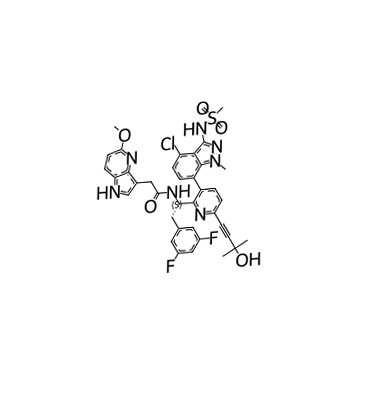 COc1ccc2[nH]cc(CC(=O)N[C@@H](Cc3cc(F)cc(F)c3)c3nc(C#CC(C)(C)O)ccc3-c3ccc(Cl)c4c(NS(C)(=O)=O)nn(C)c34)c2n1